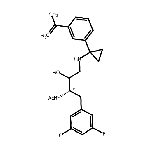 C=C(C)c1cccc(C2(NCC(O)[C@H](Cc3cc(F)cc(F)c3)NC(C)=O)CC2)c1